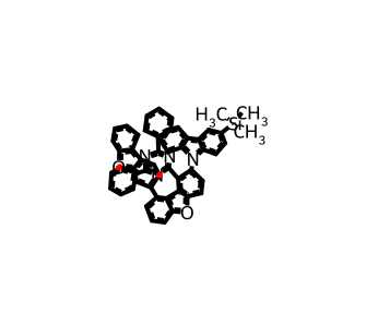 C[Si](C)(C)c1ccc2c(c1)c1ccccc1n2-c1ccc2oc3cccc(-c4ccc5c(c4)oc4ccccc45)c3c2c1-c1nc(-c2ccccc2)nc(-c2ccccc2)n1